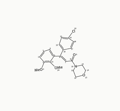 COc1cccc(C(=CC(=O)N2CCOCC2)c2ccc(Cl)cc2)c1OC